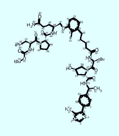 Cc1ncsc1-c1ccc([C@H](C)NC(=O)[C@@H]2C[C@@H](O)CN2C(=O)[C@@H](NC(=O)CCCCc2cccc(OC[C@H](CCC(N)=O)NC(=O)[C@@H]3CCCN3C(=O)[C@H](CC(C)C)NC(=O)OC(C)(C)C)c2F)C(C)(C)C)cc1